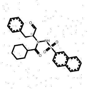 O=C[C@H](Cc1ccccc1)N(NS(=O)(=O)c1ccc2ccccc2c1)C(=O)C1CCCCC1